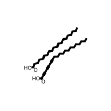 CCCCCC=CCC=CCC=CCC=CCCCC(=O)O.CCCCCCCCCCCCCC#CC#CC#CC(=O)O